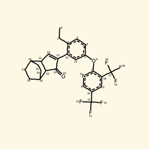 CCc1ccc(Oc2ncc(C(F)(F)F)cc2C(F)(F)F)cc1C1=CC2C3CCC(CC3)C2C1=O